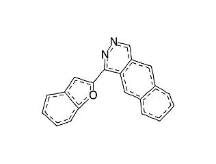 c1ccc2cc3c(-c4cc5ccccc5o4)nncc3cc2c1